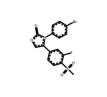 CS(=O)(=O)c1ccc(-c2coc(=O)n2-c2ccc(Br)cc2)cc1F